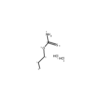 CCCOC(N)=S.Cl.Cl